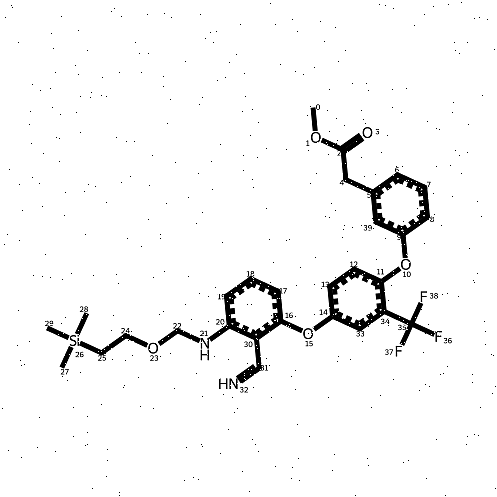 COC(=O)Cc1cccc(Oc2ccc(Oc3cccc(NCOCC[Si](C)(C)C)c3C=N)cc2C(F)(F)F)c1